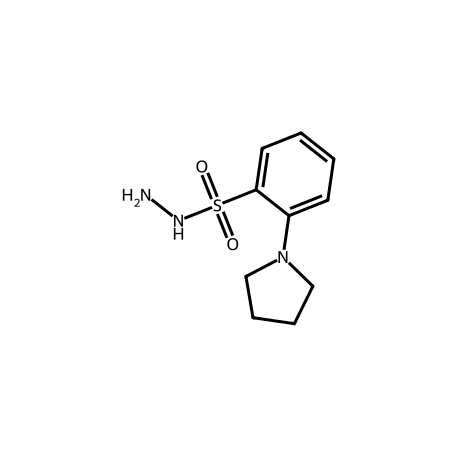 NNS(=O)(=O)c1ccccc1N1CCCC1